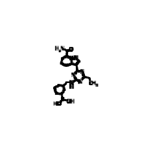 CCc1nc(NCc2cccc(B(O)O)c2)nc(-c2cnn3c(C(N)=O)cccc23)n1